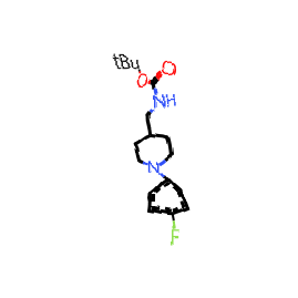 CC(C)(C)OC(=O)NCC1CCN(c2ccc(F)cc2)CC1